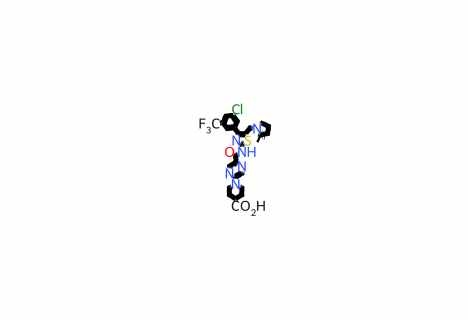 C[C@@H]1CCCN1Cc1sc(NC(=O)c2cnc(N3CCC(C(=O)O)CC3)cn2)nc1-c1cc(Cl)cc(C(F)(F)F)c1